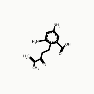 C=C(C)C(=O)CCc1c(N)cc(N)cc1C(=O)O